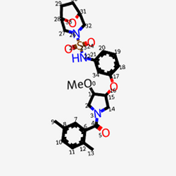 COC1CN(C(=O)c2cc(C)ccc2C)CC1Oc1cccc(NS(=O)(=O)N2CC3CCC(C2)O3)c1